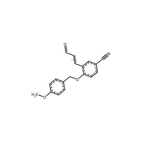 COc1ccc(COc2ccc(C#N)cc2/C=C/C=O)cc1